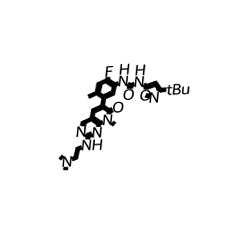 Cc1cc(F)c(NC(=O)Nc2cc(C(C)(C)C)no2)cc1-c1cc2cnc(NCCN(C)C)nc2n(C)c1=O